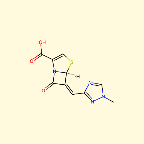 Cn1cnc(/C=C2/C(=O)N3C(C(=O)O)=CS[C@@H]23)n1